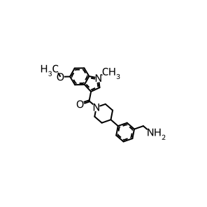 COc1ccc2c(c1)c(C(=O)N1CCC(c3cccc(CN)c3)CC1)cn2C